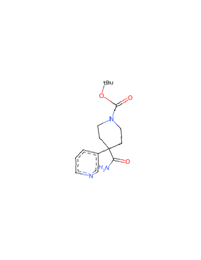 CC(C)(C)OC(=O)N1CCC(C(N)=O)(c2cccnc2)CC1